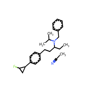 CC#N.CCC(CCc1ccc(C2CC2F)cc1)N(Cc1ccccc1)C(C)C